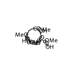 CO[C@H]1C[C@@H]2CC[C@@H](C)[C@@](O)(O2)C(=O)COCN2CCCC[C@H]2C(=O)O[C@H](C(C)C[C@@H]2CC[C@@H](OCCO)[C@H](OC)C2)CC(=O)[C@H](C)/C=C(\C)[C@@H](O)[C@@H](OC)C(=O)[C@H](C)C[C@H](C)/C=C/C=C/C=C/1C